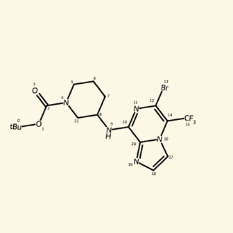 CC(C)(C)OC(=O)N1CCCC(Nc2nc(Br)c(C(F)(F)F)n3ccnc23)C1